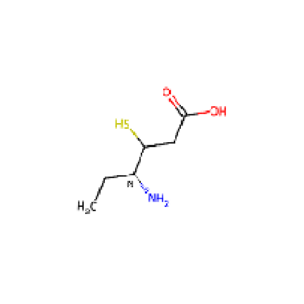 CC[C@@H](N)C(S)CC(=O)O